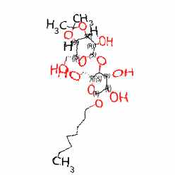 CCCCCCCCO[C@@H]1O[C@H](CO)[C@@H](O[C@@H]2O[C@H](CO)[C@@H]3OC(C)(C)O[C@@H]3[C@H]2O)[C@H](O)[C@H]1O